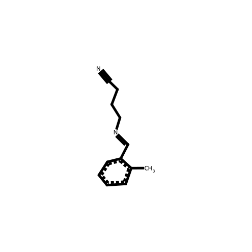 Cc1ccccc1C=NCCCC#N